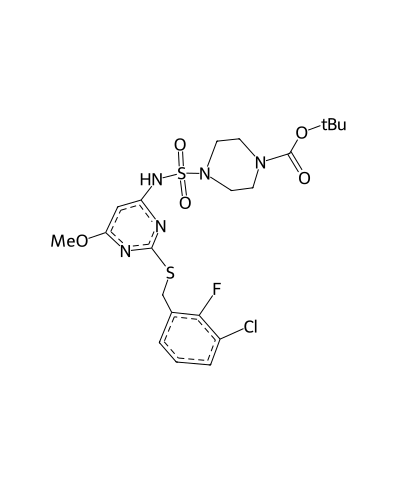 COc1cc(NS(=O)(=O)N2CCN(C(=O)OC(C)(C)C)CC2)nc(SCc2cccc(Cl)c2F)n1